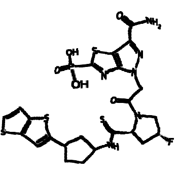 NC(=O)c1nn(CC(=O)N2C[C@H](F)C[C@H]2C(=S)NC2CCC(c3cc4sccc4s3)C2)c2nc(P(=O)(O)O)sc12